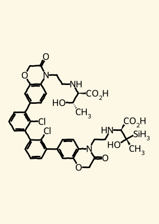 C[C@H](O)[C@@H](NCCN1C(=O)COc2cc(-c3cccc(-c4cccc(-c5ccc6c(c5)OCC(=O)N6CCN[C@@H](C(=O)O)[C@@](C)(O)[SiH3])c4Cl)c3Cl)ccc21)C(=O)O